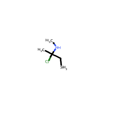 CNC(C)(Cl)C[SiH3]